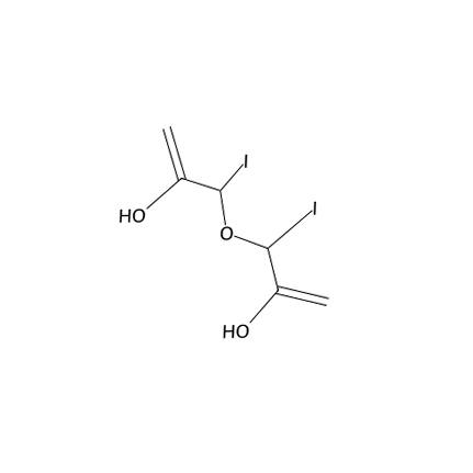 C=C(O)C(I)OC(I)C(=C)O